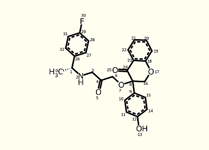 C[C@@H](NCC(=O)COC1(c2ccc(O)cc2)COc2ccccc2C1=O)c1ccc(F)cc1